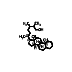 CC(CO)C(C)CC[C@@H](C)[C@H]1CC[C@H]2[C@@H]3CCC4CCCC[C@]4(C)[C@H]3CC[C@]12C